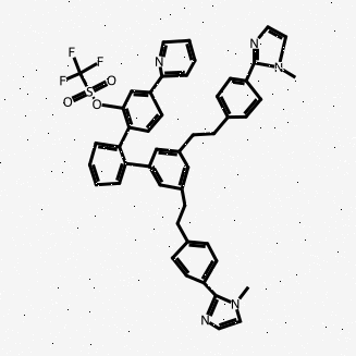 Cn1ccnc1-c1ccc(CCc2cc(CCc3ccc(-c4nccn4C)cc3)cc(-c3ccccc3-c3ccc(-c4ccccn4)cc3OS(=O)(=O)C(F)(F)F)c2)cc1